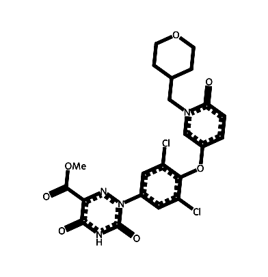 COC(=O)c1nn(-c2cc(Cl)c(Oc3ccc(=O)n(CC4CCOCC4)c3)c(Cl)c2)c(=O)[nH]c1=O